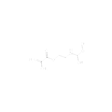 C=C(C)C(=O)OCCNC(C)OCC